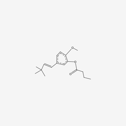 CCCC(=O)Oc1cc(/C=C/C(C)(C)C)ccc1OC